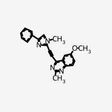 COc1ccc2nc(C)nc(C#Cc3nc(-c4ccccc4)cn3C)c2c1